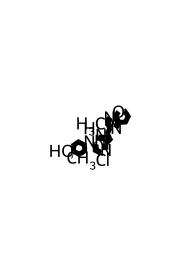 Cc1nc2c(nc1-c1cc3nc(Cl)cc(N[C@H]4CC[C@](C)(O)CC4)n3n1)CCCO2